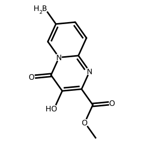 Bc1ccc2nc(C(=O)OC)c(O)c(=O)n2c1